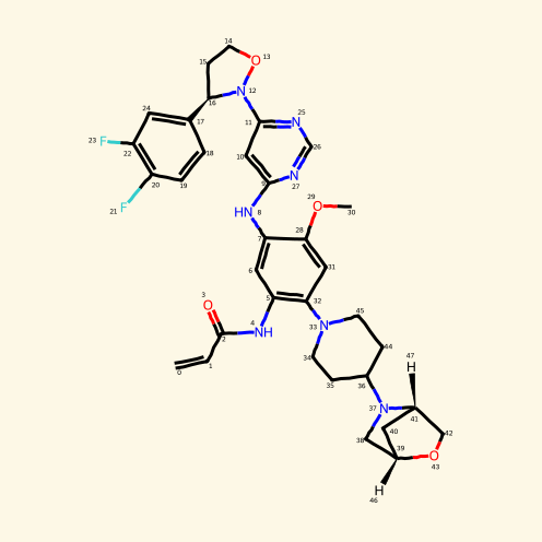 C=CC(=O)Nc1cc(Nc2cc(N3OCC[C@@H]3c3ccc(F)c(F)c3)ncn2)c(OC)cc1N1CCC(N2C[C@@H]3C[C@H]2CO3)CC1